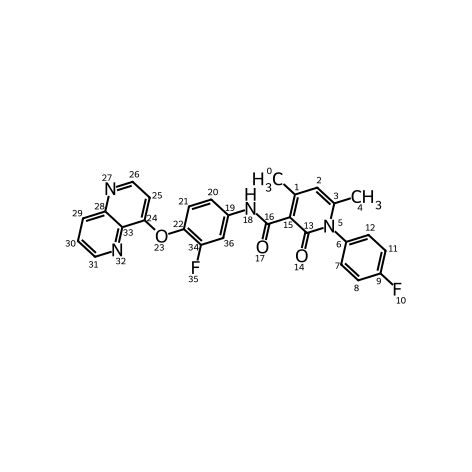 Cc1cc(C)n(-c2ccc(F)cc2)c(=O)c1C(=O)Nc1ccc(Oc2ccnc3cccnc23)c(F)c1